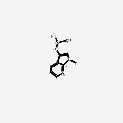 Cn1cc(OB(O)O)c2cccnc21